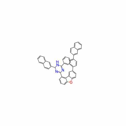 c1ccc(C2=NC(c3cccc4oc5ccc(-c6ccc(-c7ccc8ccccc8c7)cc6)cc5c34)=NC(c3ccc4ccccc4c3)N2)cc1